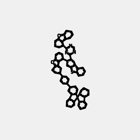 c1ccc2c(c1)-c1ccccc1C21c2ccccc2-c2cc(-c3ccc(-c4ccc5oc6cccc(-c7cc8sc9ccccc9c8cc7-c7ncnc(-c8cccc9oc%10ccccc%10c89)n7)c6c5c4)cc3)ccc21